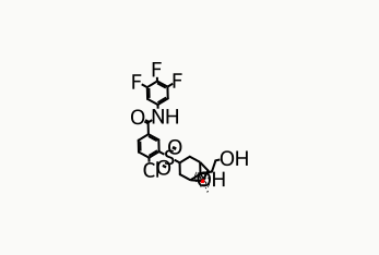 C[C@H]1CC2CC(S(=O)(=O)c3cc(C(=O)Nc4cc(F)c(F)c(F)c4)ccc3Cl)CC1[C@@]2(O)CCO